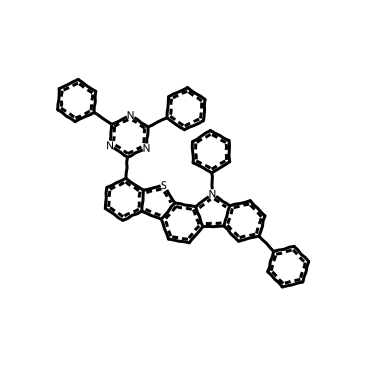 c1ccc(-c2ccc3c(c2)c2ccc4c5cccc(-c6nc(-c7ccccc7)nc(-c7ccccc7)n6)c5sc4c2n3-c2ccccc2)cc1